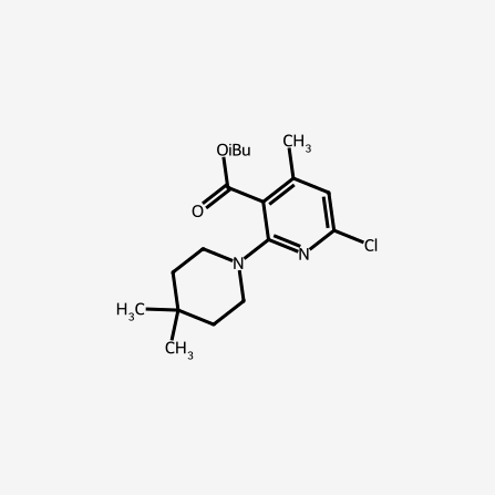 Cc1cc(Cl)nc(N2CCC(C)(C)CC2)c1C(=O)OCC(C)C